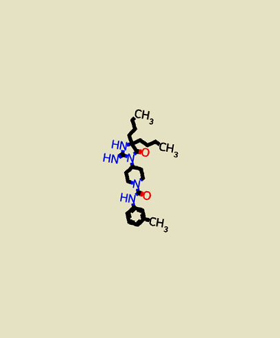 CCCCC1(CCCC)NC(=N)N(C2CCN(C(=O)Nc3cccc(C)c3)CC2)C1=O